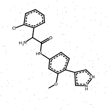 COc1cc(NC(=O)C(N)c2ccccc2Cl)ccc1-c1cn[nH]c1